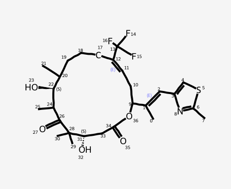 C/C(=C\c1csc(C)n1)C1C/C=C(/C(F)(F)F)CCCC(C)[C@H](O)C(C)C(=O)C(C)(C)[C@@H](O)CC(=O)O1